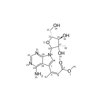 COC(=O)/C=C(/C)c1cn(C2O[C@H](CO)[C@@H](O)[C@@]2(C)O)c2ncnc(N)c12